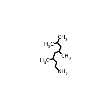 CC(C)CC(C)CC(C)CCN